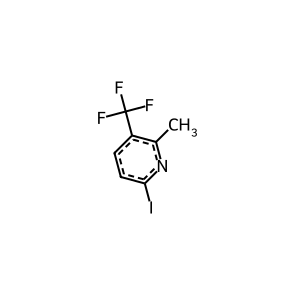 Cc1nc(I)ccc1C(F)(F)F